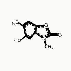 Cc1cc2oc(=O)n(C)c2cc1O